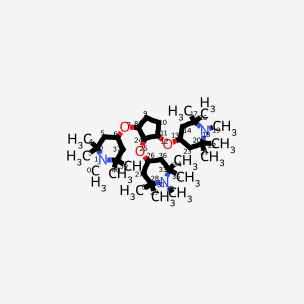 CN1C(C)(C)CC(OC2CCC(OC3CC(C)(C)N(C)C(C)(C)C3)C2OC2CC(C)(C)N(C)C(C)(C)C2)CC1(C)C